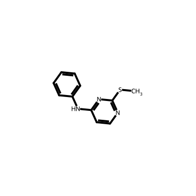 CSc1nccc(Nc2ccccc2)n1